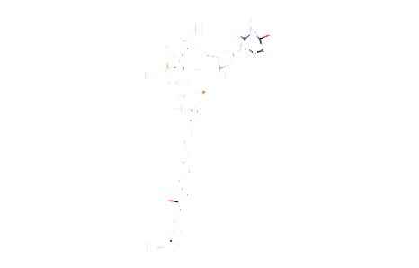 Cc1cn([C@H]2C[C@@H](O)C(COP(=O)(O)OP(=O)(O)OP(=O)(O)OP(=O)(O)OP(=O)(O)OP(=O)(O)OCCCCCCNC(=O)CCOC(C)(C)CO)O2)c(=O)[nH]c1=O